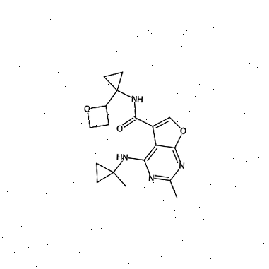 Cc1nc(NC2(C)CC2)c2c(C(=O)NC3(C4CCO4)CC3)coc2n1